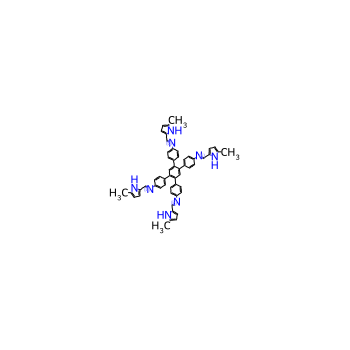 Cc1ccc(/C=N/c2ccc(-c3cc(-c4ccc(/N=C/c5ccc(C)[nH]5)cc4)c(-c4ccc(/N=C/c5ccc(C)[nH]5)cc4)cc3-c3ccc(/N=C/c4ccc(C)[nH]4)cc3)cc2)[nH]1